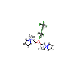 CCCC[N+]1(CCOCC[N+]2(CCCC)CCCC2)CCCC1.F[B-](F)(F)F.F[B-](F)(F)F